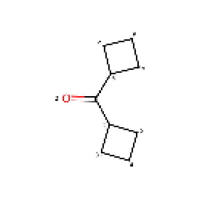 O=C(C1[CH]CC1)C1CCC1